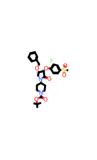 CC(C)(C)OC(=O)N1CCC(N2C[C@H](OCc3ccccc3)[C@H](Oc3ccc(S(C)(=O)=O)cc3F)C2=O)CC1